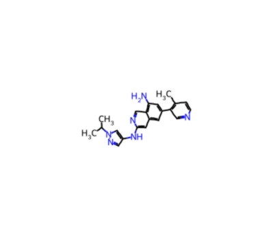 Cc1ccncc1-c1cc(N)c2cnc(Nc3cnn(C(C)C)c3)cc2c1